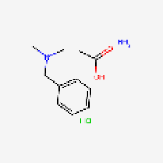 CC(=O)O.CN(C)Cc1ccccc1.Cl.N